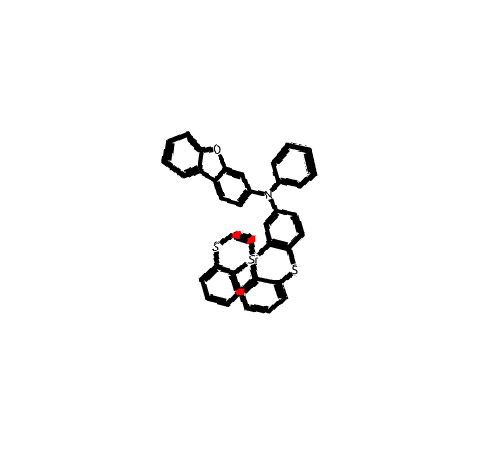 c1ccc(N(c2ccc3c(c2)[Si]2(c4ccccc4Sc4ccccc42)c2ccccc2S3)c2ccc3c(c2)oc2ccccc23)cc1